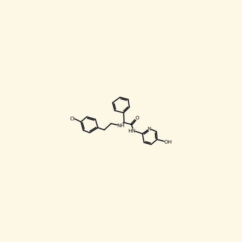 O=C(Nc1ccc(O)cn1)C(NCCc1ccc(Cl)cc1)c1ccccc1